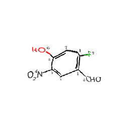 O=Cc1cc([N+](=O)[O-])c(O)cc1F